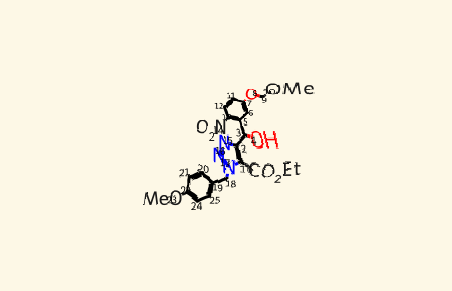 CCOC(=O)c1c(C(O)c2cc(OCOC)ccc2[N+](=O)[O-])nnn1Cc1ccc(OC)cc1